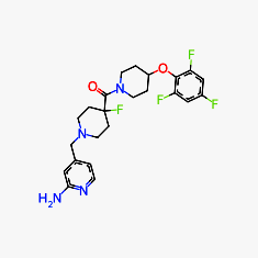 Nc1cc(CN2CCC(F)(C(=O)N3CCC(Oc4c(F)cc(F)cc4F)CC3)CC2)ccn1